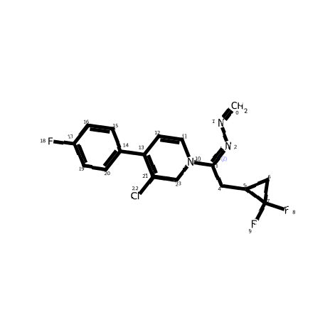 C=N/N=C(/CC1CC1(F)F)N1C=CC(c2ccc(F)cc2)=C(Cl)C1